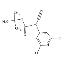 CC(C)(C)OC(=O)C(C#N)c1cc(Cl)nc(Cl)c1